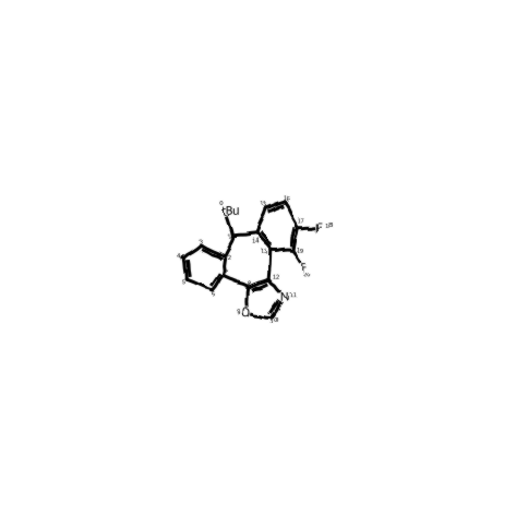 CC(C)(C)C1c2ccccc2-c2ocnc2-c2c1ccc(F)c2F